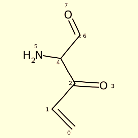 C=CC(=O)C(N)[C]=O